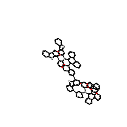 c1cc(-c2cccc3oc4c(-c5ccc6c(-c7c(N(c8ccc9c(c8)oc8ccccc89)c8ccccc8-c8cccc9c8sc8ccccc89)c8ccccc8c8ccccc78)cccc6c5)cccc4c23)cc(N(c2c(-c3cccc4ccccc34)c3ccccc3c3ccccc23)c2cccc3sc4ccccc4c23)c1